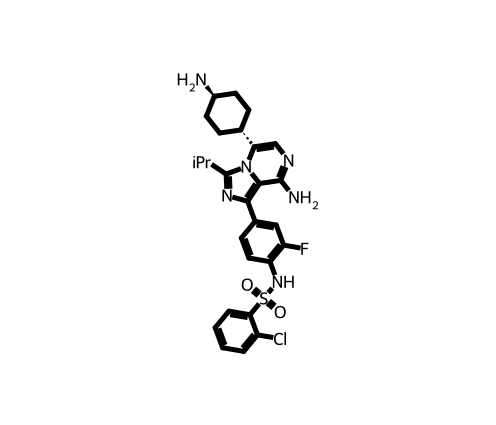 CC(C)c1nc(-c2ccc(NS(=O)(=O)c3ccccc3Cl)c(F)c2)c2c(N)ncc([C@H]3CC[C@H](N)CC3)n12